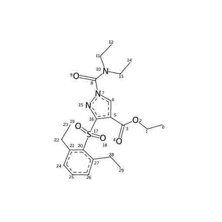 CCOC(=O)c1cn(C(=O)N(CC)CC)nc1S(=O)(=O)c1c(CC)cccc1CC